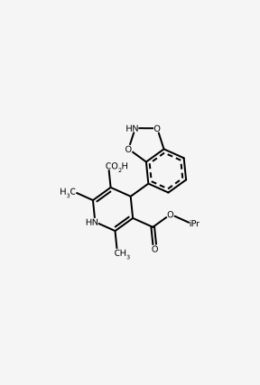 CC1=C(C(=O)O)C(c2cccc3c2ONO3)C(C(=O)OC(C)C)=C(C)N1